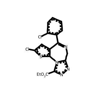 CCOC(=O)c1nnc2n1-c1sc(Cl)cc1C(c1ccccc1Cl)=NC2